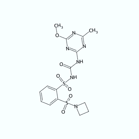 COc1nc(C)nc(NC(=O)NS(=O)(=O)c2ccccc2S(=O)(=O)N2CCC2)n1